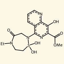 CCN1CCS(O)(O)N(c2nc(C(=O)OC)c(O)c3ncccc23)CC1=O